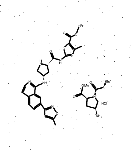 CCCOC(=O)c1sc(NC(=O)[C@@H]2C[C@H](Nc3nccc4ccc(-c5noc(C)n5)cc34)CN2)nc1C.COC(=O)[C@@H]1C[C@H](N)CN1C(=O)OC(C)(C)C.Cl